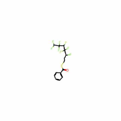 O=C(SCCC(F)C(F)(F)C(F)C(F)(F)C(F)F)c1ccccc1